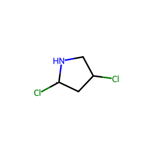 Cl[C]1CC(Cl)CN1